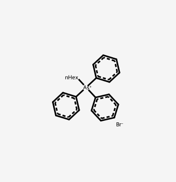 CCCCCC[As+](c1ccccc1)(c1ccccc1)c1ccccc1.[Br-]